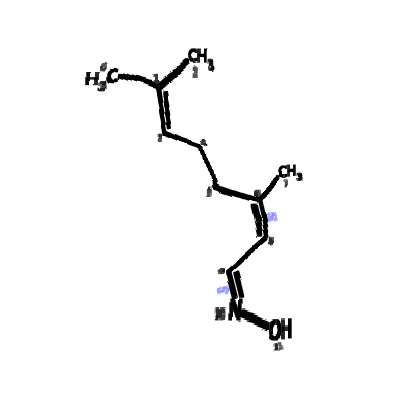 CC(C)=CCC/C(C)=C\C=N/O